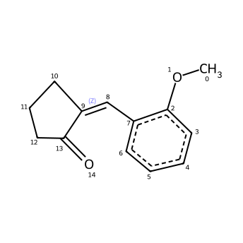 COc1ccccc1/C=C1/CCCC1=O